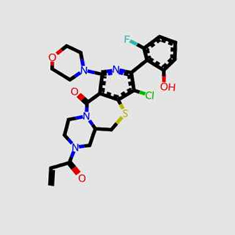 C=CC(=O)N1CCN2C(=O)c3c(N4CCOCC4)nc(-c4c(O)cccc4F)c(Cl)c3SCC2C1